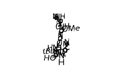 COc1cc(N2CCC(OCC(=O)N[C@H](C(=O)N3C[C@H](O)C[C@H]3C(=O)N[C@H](C)c3ccc(-c4ccnn4C)c(C)c3)C(C)(C)C)CC2)ccc1NC(=O)c1cccc(-c2ccn[nH]2)n1